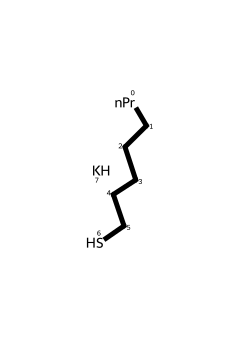 CCCCCCCCS.[KH]